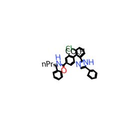 CCC[C@@H](NC(=O)c1ccc(-c2c(Cl)cccc2-c2ncc(-c3ccccc3)[nH]2)c(C(=O)O)c1)c1ccccc1